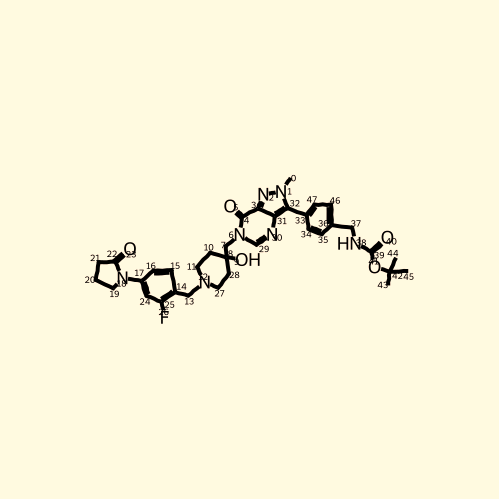 Cn1nc2c(=O)n(CC3(O)CCN(Cc4ccc(N5CCCC5=O)cc4F)CC3)cnc2c1-c1ccc(CNC(=O)OC(C)(C)C)cc1